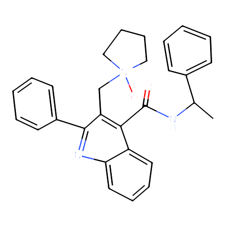 CC(NC(=O)c1c(C[N+]2([O-])CCCC2)c(-c2ccccc2)nc2ccccc12)c1ccccc1